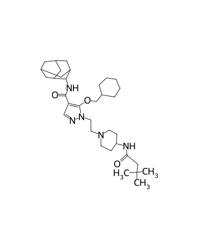 CC(C)(C)CC(=O)NC1CCN(CCn2ncc(C(=O)NC3C4CC5CC(C4)CC3C5)c2OCC2CCCCC2)CC1